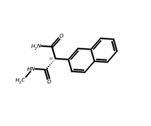 CNC(=O)[C@H](C(N)=O)c1ccc2ccccc2c1